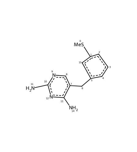 CSc1cccc(Cc2cnc(N)nc2N)c1